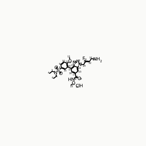 CCN(CC)S(=O)(=O)c1ccc(OC)c(-c2cc(C(=O)NOC)cc3c2nnn3C/C(F)=C/CN)c1.Cl